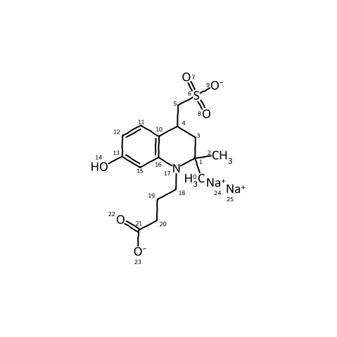 CC1(C)CC(CS(=O)(=O)[O-])c2ccc(O)cc2N1CCCC(=O)[O-].[Na+].[Na+]